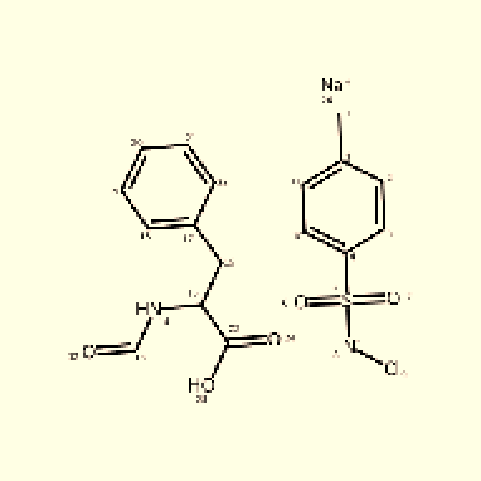 Cc1ccc(S(=O)(=O)[N-]Cl)cc1.O=CNC(Cc1ccccc1)C(=O)O.[Na+]